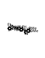 CCN(CCSNC(=O)Nc1ccc(Oc2ccnc3cc(OC)c(OC)cc23)c(C)c1C)c1ccccc1C